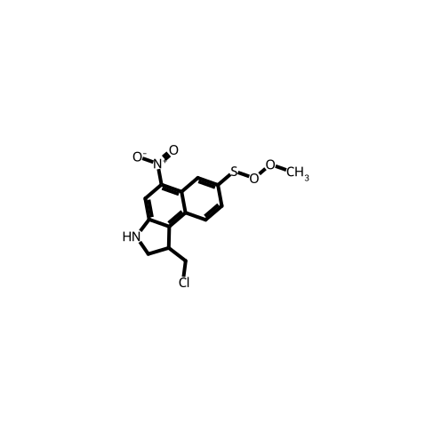 COOSc1ccc2c3c(cc([N+](=O)[O-])c2c1)NCC3CCl